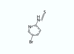 S=[C]Nc1ccc(Br)cn1